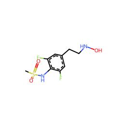 CS(=O)(=O)Nc1c(F)cc(CCNO)cc1F